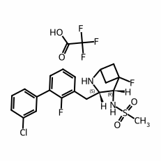 CS(=O)(=O)N[C@@H]1[C@H](Cc2cccc(-c3cccc(Cl)c3)c2F)NC2CC1(F)C2.O=C(O)C(F)(F)F